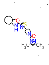 O=C(Cn1nc(C(F)(F)F)cc1C(F)(F)F)N1CCC(c2nc(C3NCC4CCCCCCCC4CO3)cs2)CC1